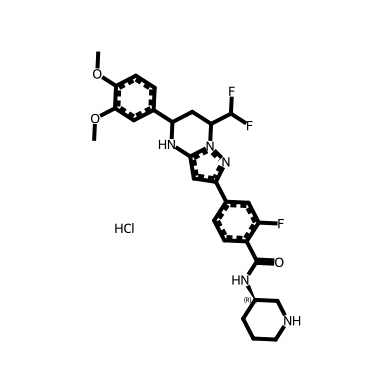 COc1ccc(C2CC(C(F)F)n3nc(-c4ccc(C(=O)N[C@@H]5CCCNC5)c(F)c4)cc3N2)cc1OC.Cl